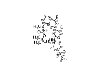 CC(NC(=O)OC(C)(C)C)c1ccnc2c(F)cc(-c3nc(NC4CCN(S(=O)(=O)C5CC5)CC4)ncc3F)cc12